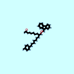 CC(=O)CCCCCCC(CCCCCCCc1ccc(C)cc1)COCC1c2ccccc2-c2ccccc21